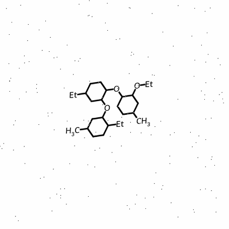 CCOC1CC(C)CCC1OC1CCC(CC)CC1OC1CC(C)CCC1CC